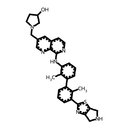 Cc1c(Nc2nccc3cc(CN4CCC(O)C4)cnc23)cccc1-c1cccc(-c2nc3c(s2)CNC3)c1C